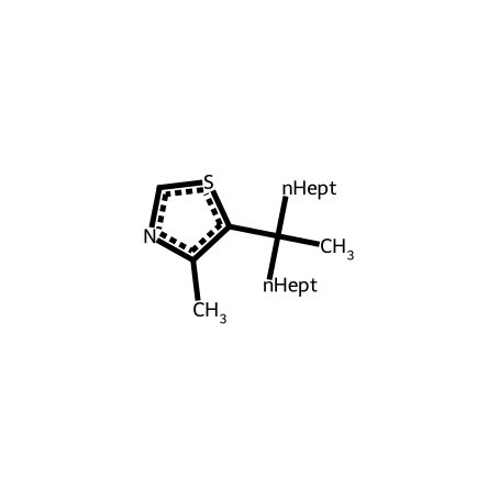 CCCCCCCC(C)(CCCCCCC)c1scnc1C